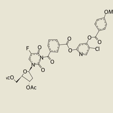 COc1ccc(C(=O)Oc2cc(OC(=O)c3cccc(C(=O)n4c(=O)c(F)cn([C@H]5C[C@H](OC(C)=O)[C@@H](COC(C)=O)O5)c4=O)c3)ncc2Cl)cc1